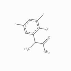 CC(C(N)=O)c1cc(F)cc(F)c1F